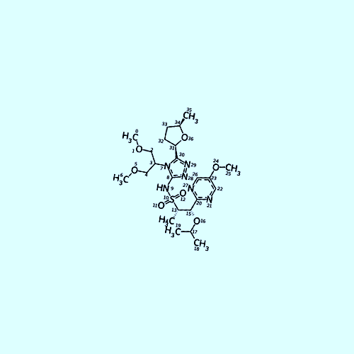 COCC(COC)n1c(NS(=O)(=O)[C@@H](C)[C@@H](OC(C)C)c2ncc(OC)cn2)nnc1[C@H]1CC[C@@H](C)O1